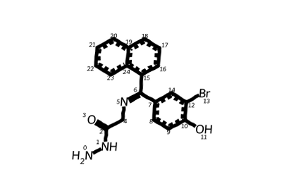 NNC(=O)CN=C(c1ccc(O)c(Br)c1)c1cccc2ccccc12